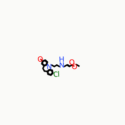 CCOC(=O)/C=C/CNCCCCN1c2ccc(OC)cc2CCc2ccc(Cl)cc21